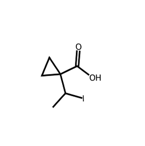 CC(I)C1(C(=O)O)CC1